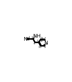 N#CC(N)Cc1ccncc1